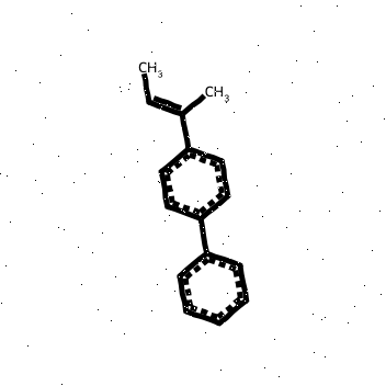 CC=C(C)c1ccc(-c2ccccc2)cc1